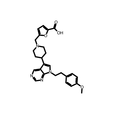 COc1ccc(CCn2cc(C3CCN(Cc4ccc(C(=O)O)o4)CC3)c3cncnc32)cc1